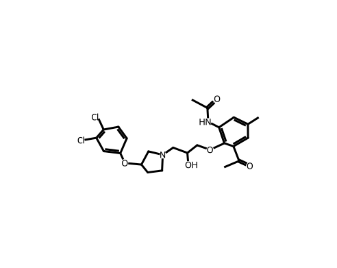 CC(=O)Nc1cc(C)cc(C(C)=O)c1OCC(O)CN1CCC(Oc2ccc(Cl)c(Cl)c2)C1